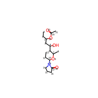 CCC(CC(O)CC(C)OC(CC)N1CCCC1=O)OC(C)=O